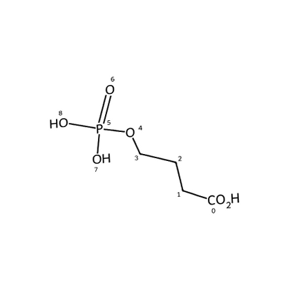 O=C(O)CCCOP(=O)(O)O